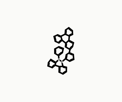 c1ccc(N2B(c3cccc(-c4ccc5c6ccccc6c6ccccc6c5c4)c3)c3ccccc3-c3ccccc32)cc1